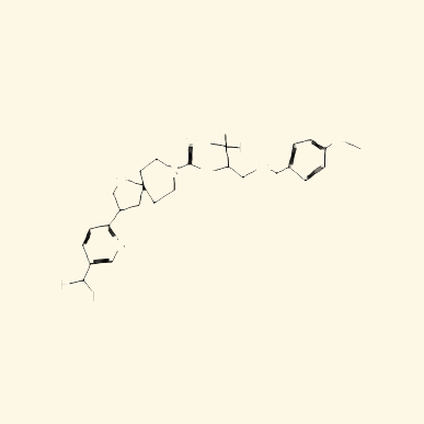 COc1ccc(COCC(OC(=O)N2CCC3(CC2)CC(c2ccc(C(F)F)cn2)CO3)C(F)(F)F)cc1